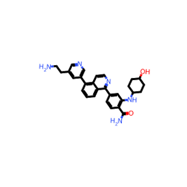 NCCc1cncc(-c2cccc3c(-c4ccc(C(N)=O)c(NC5CCC(O)CC5)c4)nccc23)c1